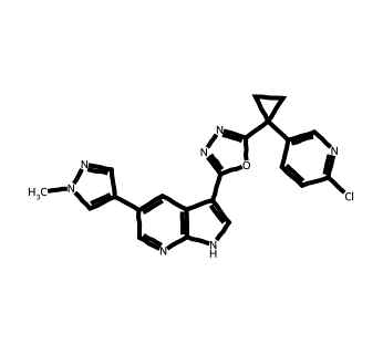 Cn1cc(-c2cnc3[nH]cc(-c4nnc(C5(c6ccc(Cl)nc6)CC5)o4)c3c2)cn1